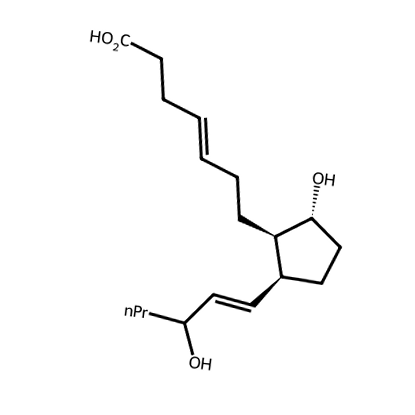 CCCC(O)C=C[C@@H]1CC[C@@H](O)[C@@H]1CCC=CCCC(=O)O